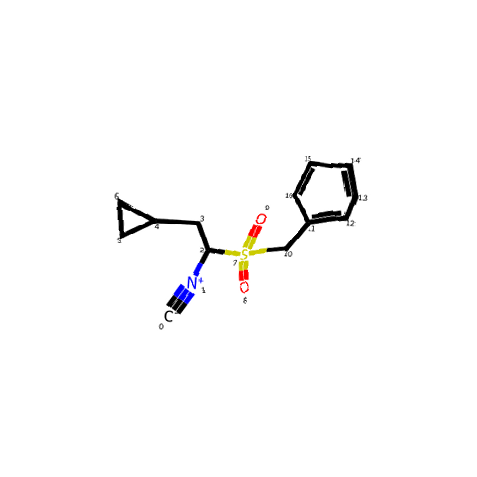 [C-]#[N+]C(CC1CC1)S(=O)(=O)Cc1ccccc1